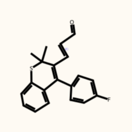 CC1(C)Sc2ccccc2C(c2ccc(F)cc2)=C1/C=C/C=O